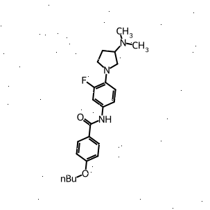 CCCCOc1ccc(C(=O)Nc2ccc(N3CCC(N(C)C)C3)c(F)c2)cc1